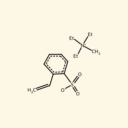 C=Cc1ccccc1S(=O)(=O)[O-].CC[N+](C)(CC)CC